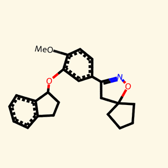 COc1ccc(C2=NOC3(CCCC3)C2)cc1OC1CCc2ccccc21